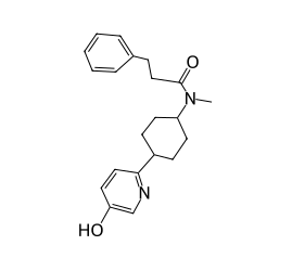 CN(C(=O)CCc1ccccc1)C1CCC(c2ccc(O)cn2)CC1